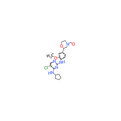 COc1cc(C2CN(C=O)CCO2)ccc1Nc1ncc(Cl)c(NC2CCCC2)n1